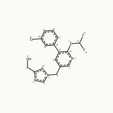 OCc1ncn(Cc2cnc(OC(F)F)c(-c3cccc(Cl)c3)c2)n1